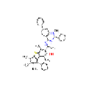 Bc1c(B)c(-c2ccccc2)c2c(sc3c(C)c(/C(C)=N/C(NC(NC)c4ccccc4)C4=CC=C(C5C=CC=CC5)CC4)c(O)c(C)c32)c1C